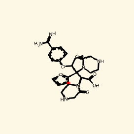 CCC(Oc1ccc(C(=N)N)cc1)C(c1ccco1)(C(C(=O)O)N1CCNCC1=O)N1CCNCC1=O